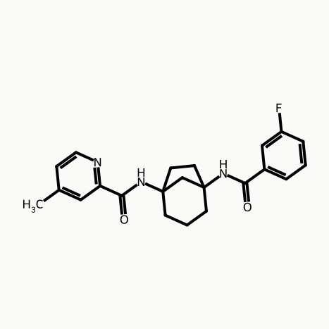 Cc1ccnc(C(=O)NC23CCCC(NC(=O)c4cccc(F)c4)(CC2)C3)c1